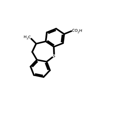 CC1Cc2ccccc2Sc2cc(C(=O)O)ccc21